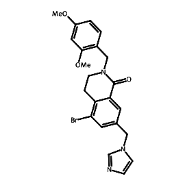 COc1ccc(CN2CCc3c(Br)cc(Cn4ccnc4)cc3C2=O)c(OC)c1